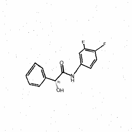 O=C(Nc1ccc(F)c(F)c1)[C@H](O)c1ccccc1